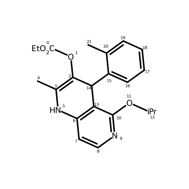 CCOC(=O)OC1=C(C)Nc2ccnc(OC(C)C)c2C1c1ccccc1C